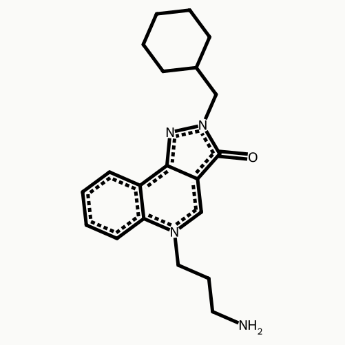 NCCCn1cc2c(=O)n(CC3CCCCC3)nc-2c2ccccc21